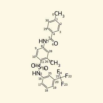 Cc1ccc(C(=O)Nc2ccc(S(=O)(=O)Nc3cccc(C(F)(F)F)c3)c(C)c2)cc1